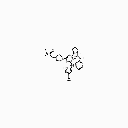 CN(C)C(=O)CN1CCN(c2nc(Nc3cc(C4CC4)n[nH]3)nc(N3CCC[C@@]3(C)C(=O)Nc3cnccn3)n2)CC1